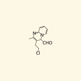 CC1=C(CCCl)C(C=O)N2C=CC=CC2=N1